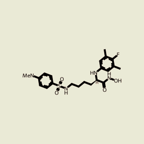 CNc1ccc(S(=O)(=O)NCCCC[C@@H](Nc2cc(C)c(F)c(C)c2)C(=O)NO)cc1